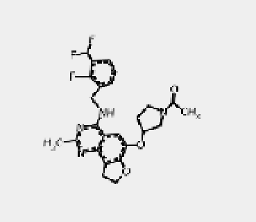 CC(=O)N1CCC(Oc2cc3c(NCc4cccc(C(F)F)c4F)nc(C)nc3c3c2OCC3)C1